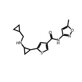 Cc1cc(NC(=O)c2csc(C3CC3NCC3CC3)c2)no1